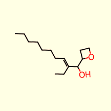 CCCCCCCC=C(CC)C(O)C1CCO1